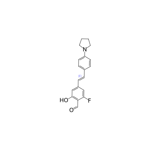 O=Cc1c(O)cc(/C=C/c2ccc(N3CCCC3)cc2)cc1F